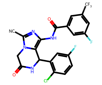 N#Cc1nc(NC(=O)c2cc(F)cc(C(F)(F)F)c2)c2n1CC(=O)NC2c1cc(F)ccc1Cl